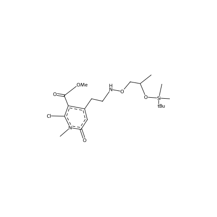 COC(=O)c1c(CCNOCC(C)O[Si](C)(C)C(C)(C)C)cc(=O)n(C)c1Cl